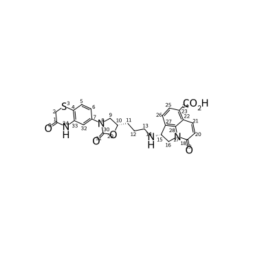 O=C1CSc2ccc(N3C[C@H](CCCN[C@H]4Cn5c(=O)ccc6c(C(=O)O)ccc4c65)OC3=O)cc2N1